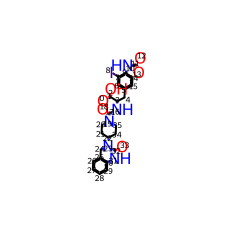 O=C(O)C(Cc1cc(I)c2[nH]c(=O)oc2c1)NC(=O)N1CCC(N2Cc3ccccc3NC2=O)CC1